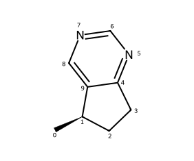 C[C@@H]1CCc2ncncc21